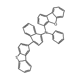 c1ccc(N(c2ccc(-c3ccc4sc5ccccc5c4c3)c3ccccc23)c2cccc3c2oc2ccccc23)cc1